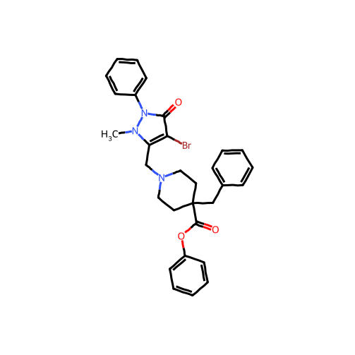 Cn1c(CN2CCC(Cc3ccccc3)(C(=O)Oc3ccccc3)CC2)c(Br)c(=O)n1-c1ccccc1